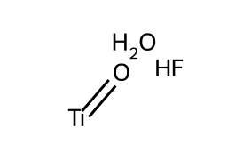 F.O.[O]=[Ti]